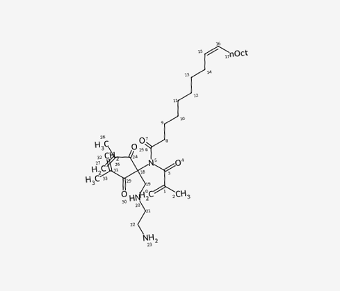 C=C(C)C(=O)N(C(=O)CCCCCCC/C=C\CCCCCCCC)C(CNCCN)(C(=O)C(=C)C)C(=O)C(=C)C